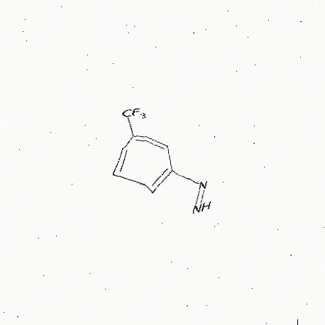 N=Nc1cccc(C(F)(F)F)c1